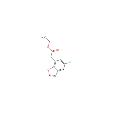 CCOC(=O)Cc1cc(F)cc2ccoc12